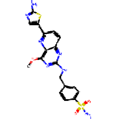 CCOc1nc(NCc2ccc(S(N)(=O)=O)cc2)nc2ccc(-c3cnc(N)s3)nc12